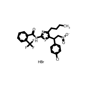 Br.CCCCc1nc(NC(=O)c2ccccc2C(F)(F)F)sc1C(C[N+](=O)[O-])c1ccc(Cl)cc1